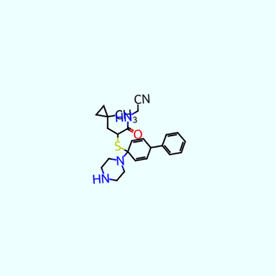 CC1(CC(SC2(N3CCNCC3)C=CC(c3ccccc3)C=C2)C(=O)NCC#N)CC1